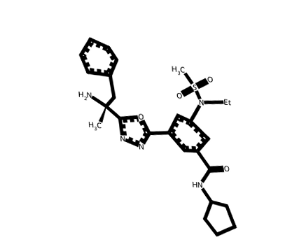 CCN(c1cc(C(=O)NC2CCCC2)cc(-c2nnc([C@](C)(N)Cc3ccccc3)o2)c1)S(C)(=O)=O